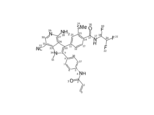 C=CC(=O)Nc1ccc(-c2c(-c3ccc(C(=O)NC(F)C(F)F)c(SC)c3)c3c(N)ncc(C#N)c3n2C)cc1